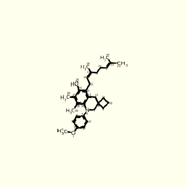 COc1ccc(N2CC3(CCC3)Cc3c(CC=C(C)CCC=C(C)C)c(O)c(C)c(C)c32)cc1